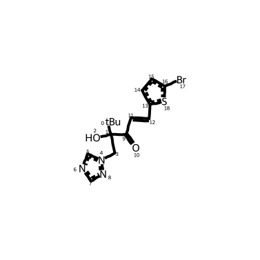 CC(C)(C)C(O)(Cn1cncn1)C(=O)C=Cc1ccc(Br)s1